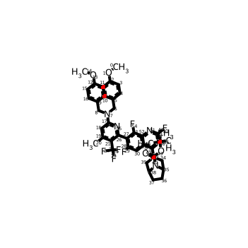 COc1ccc(CN(Cc2ccc(OC)cc2)c2cc(C)c(C(F)(F)F)c(-c3c(F)cc4c(N5CC6CCC(C5)N6C(=O)OC(C)(C)C)nc(F)nc4c3F)n2)cc1